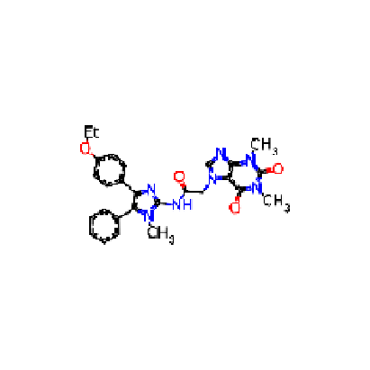 CCOc1ccc(-c2nc(NC(=O)Cn3cnc4c3c(=O)n(C)c(=O)n4C)n(C)c2-c2ccccc2)cc1